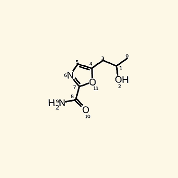 CC(O)Cc1cnc(C(N)=O)o1